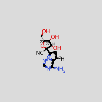 [2H]c1cc([C@]2(C#N)O[C@H](CO)[C@@H](O)[C@H]2O)n2ncnc(N)c12